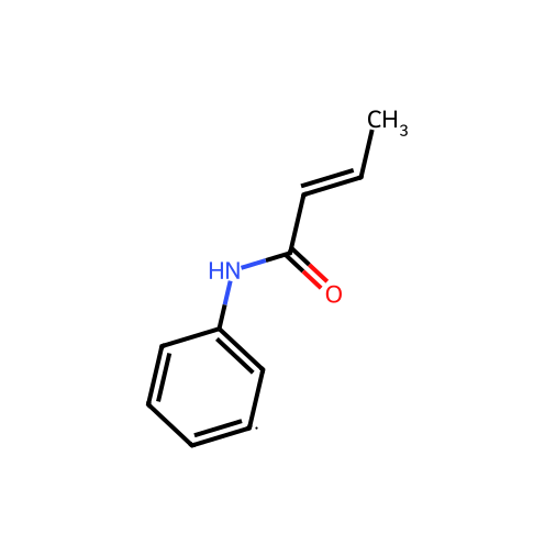 C/C=C/C(=O)Nc1c[c]ccc1